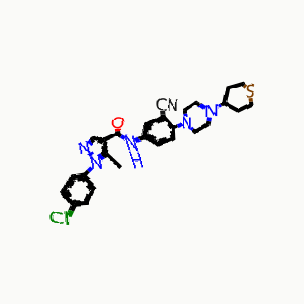 Cc1c(C(=O)Nc2ccc(N3CCN(C4CCSCC4)CC3)c(C#N)c2)cnn1-c1ccc(Cl)cc1